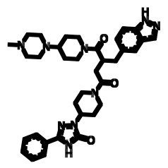 CN1CCN(C2CCN(C(=O)C(CC(=O)N3CCC(n4nc(-c5ccccc5)[nH]c4=O)CC3)Cc3ccc4[nH]ncc4c3)CC2)CC1